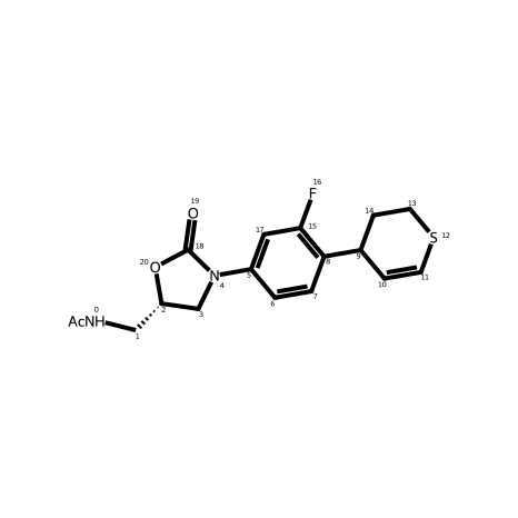 CC(=O)NC[C@H]1CN(c2ccc(C3C=CSCC3)c(F)c2)C(=O)O1